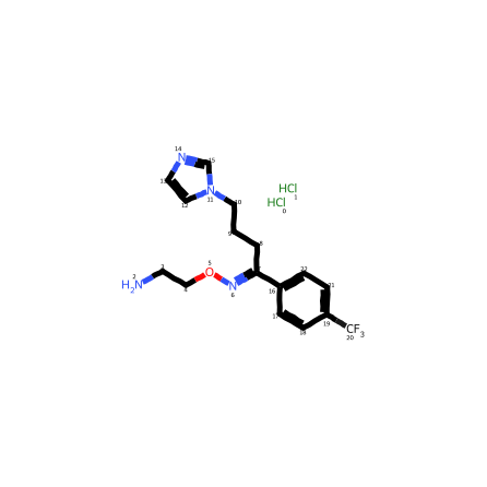 Cl.Cl.NCCON=C(CCCn1ccnc1)c1ccc(C(F)(F)F)cc1